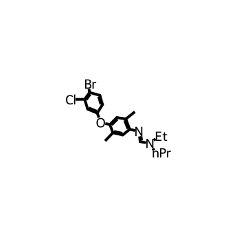 CCCN(C=Nc1cc(C)c(Oc2ccc(Br)c(Cl)c2)cc1C)CC